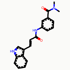 CN(C)C(=O)c1cccc(NC(=O)/C=C/c2c[nH]c3ccccc23)c1